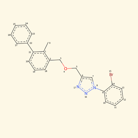 Cc1c(COCc2cn(-c3ccccc3Br)nn2)cccc1-c1ccccc1